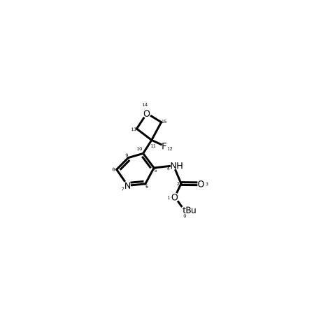 CC(C)(C)OC(=O)Nc1cnccc1C1(F)COC1